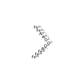 [Al-3].[Al-3].[Al-3].[Fe+3].[Fe+3].[Fe+3].[Fe+3].[Fe+3].[O-2].[O-2].[O-2]